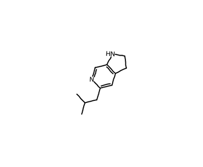 CC(C)Cc1cc2c(cn1)NCC2